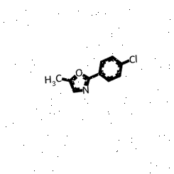 Cc1cnc(-c2ccc(Cl)cc2)o1